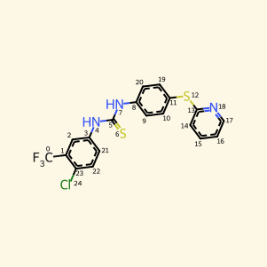 FC(F)(F)c1cc(NC(=S)Nc2ccc(Sc3ccccn3)cc2)ccc1Cl